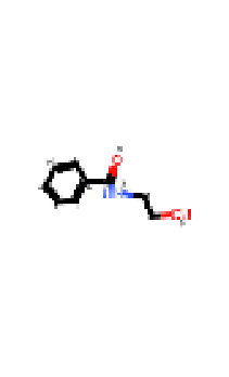 O=C(NCCO)c1ccccc1